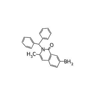 Bc1ccc2cc(C)n(C(c3ccccc3)c3ccccc3)c(=O)c2c1